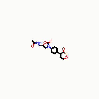 CC(=O)NC[C@H]1CN(c2ccc(C3=CCOSC3=O)cc2)C(=O)O1